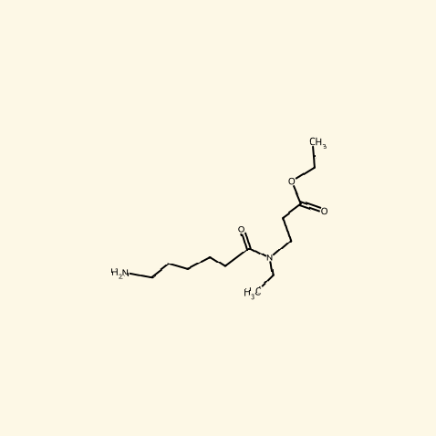 CCOC(=O)CCN(CC)C(=O)CCCCCN